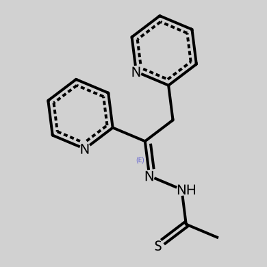 CC(=S)N/N=C(\Cc1ccccn1)c1ccccn1